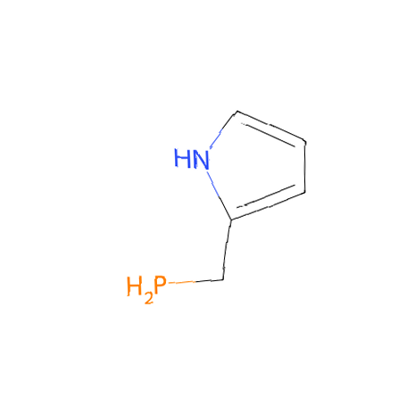 PCc1ccc[nH]1